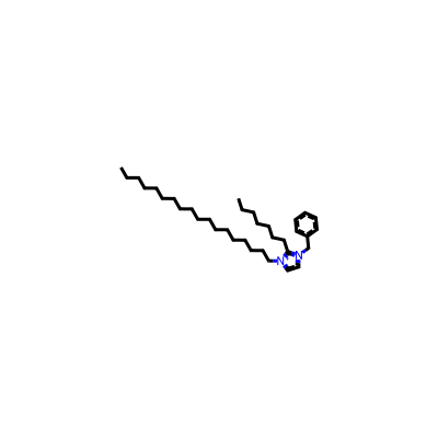 CCCCCCCCCCCCCCCCCC[n+]1ccn(Cc2ccccc2)c1CCCCCCC